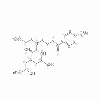 CCCCCCCCCCC(O)CN(CCNC(=O)c1ccc(OC)cc1)CCN(CC(O)CCCCCCCCCC)CC(O)CCCCCCCCCC